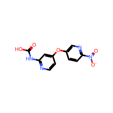 O=C(O)Nc1cc(Oc2ccc([N+](=O)[O-])nc2)ccn1